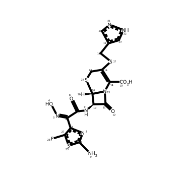 Nc1nc(/C(=N/O)C(=O)N[C@@H]2C(=O)N3C(C(=O)O)=C(SCc4cn[nH]c4)CS[C@@H]23)c(F)s1